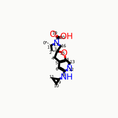 C[C@H]1C[C@]2(Cc3cc(NC4CC4)ncc3O2)CN1C(=O)O